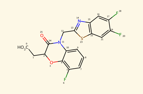 O=C(O)CC1Oc2c(F)cccc2N(Cc2nc3cc(F)c(F)cc3s2)C1=O